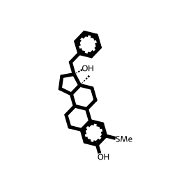 CSc1cc2c(cc1O)CCC1C2CC[C@@]2(C)C1CC[C@@]2(O)Cc1ccccc1